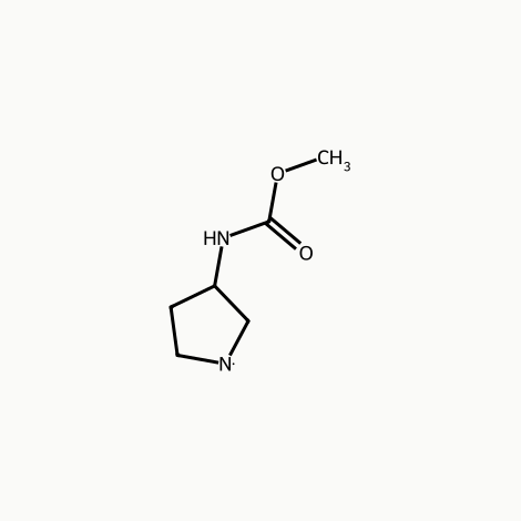 COC(=O)NC1CC[N]C1